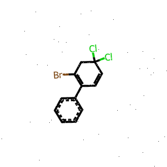 ClC1(Cl)C=CC(c2ccccc2)=C(Br)C1